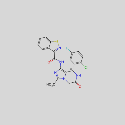 O=C1Cn2c(C(=O)O)nc(NC(=O)c3nsc4ccccc34)c2[C@H](c2cc(F)ccc2Cl)N1